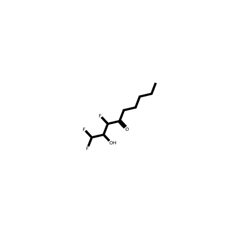 CCCCCC(=O)C(F)C(O)C(F)F